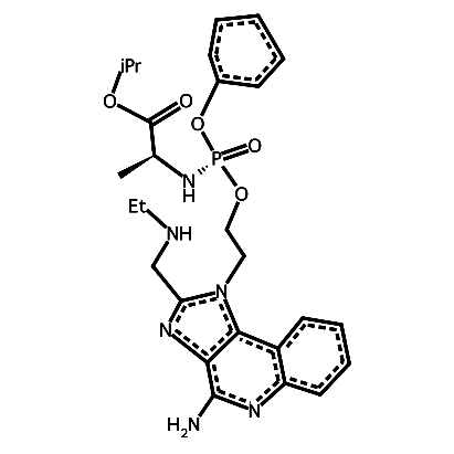 CCNCc1nc2c(N)nc3ccccc3c2n1CCO[P@@](=O)(N[C@@H](C)C(=O)OC(C)C)Oc1ccccc1